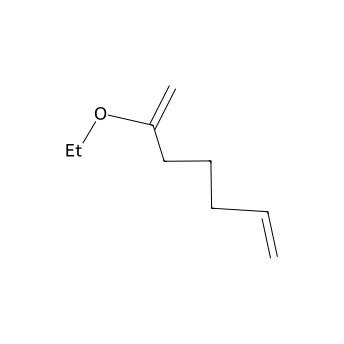 C=CCCCC(=C)OCC